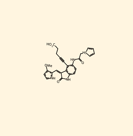 COc1cc[nH]c1/C=C1\C(=O)Nc2ccc(NC(=O)C[SH]3C=CC=C3)c(C#CCCC(=O)O)c21